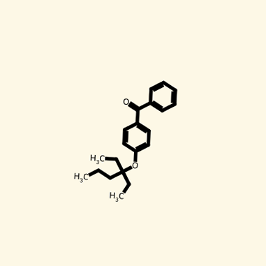 CCCC(CC)(CC)Oc1ccc(C(=O)c2ccccc2)cc1